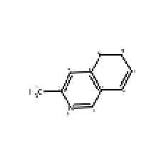 Cc1cc2c(cn1)C=CCC2